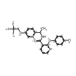 CC(NC(=O)c1cccnc1Oc1ccc(Cl)cc1)c1ccc(OCC(F)(F)F)cn1